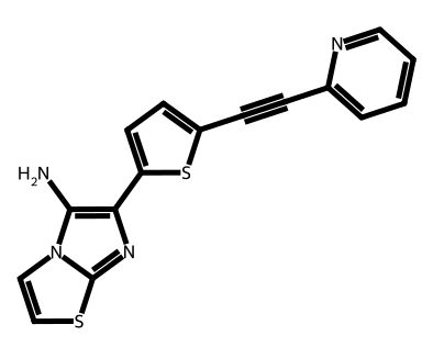 Nc1c(-c2ccc(C#Cc3ccccn3)s2)nc2sccn12